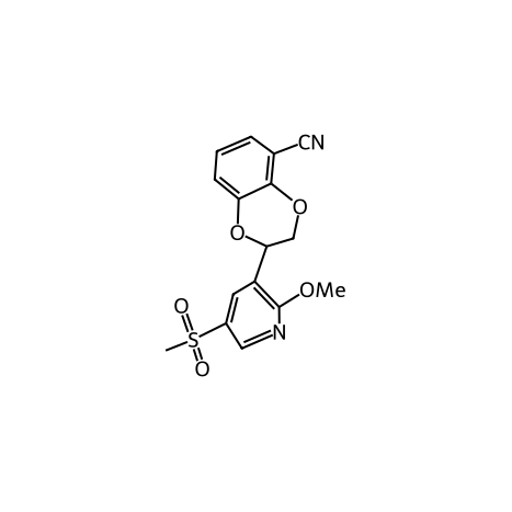 COc1ncc(S(C)(=O)=O)cc1C1COc2c(C#N)cccc2O1